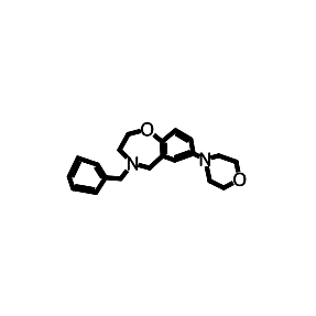 c1ccc(CN2CCOc3ccc(N4CCOCC4)cc3C2)cc1